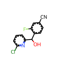 N#Cc1ccc(C(O)c2cccc(Cl)n2)c(F)c1